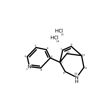 C1=CC2(c3cccnc3)CNCC1C2.Cl.Cl